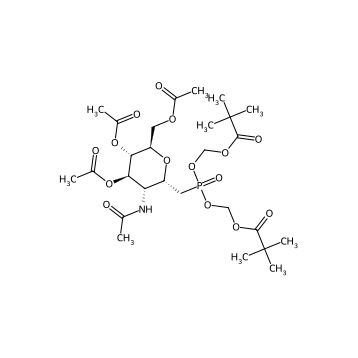 CC(=O)N[C@@H]1[C@@H](OC(C)=O)[C@H](OC(C)=O)[C@@H](COC(C)=O)O[C@@H]1CP(=O)(OCOC(=O)C(C)(C)C)OCOC(=O)C(C)(C)C